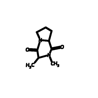 CC1C(=O)N2CCCC2C(=O)N1C